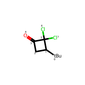 CC(C)(C)C1CC(=O)C1(Cl)Cl